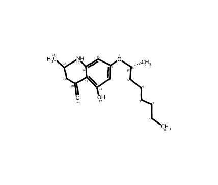 CCCCCC[C@@H](C)Oc1cc(O)c2c(c1)NC(C)CC2=O